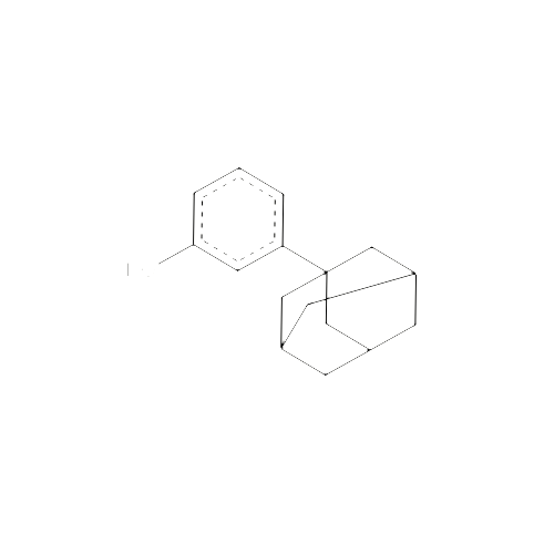 Oc1cc[c]c(C23CC4CC(CC(C4)C2)C3)c1